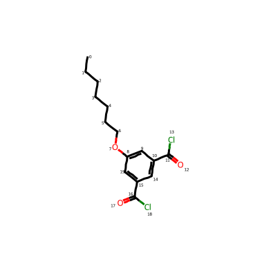 CCCCCCCOc1cc(C(=O)Cl)cc(C(=O)Cl)c1